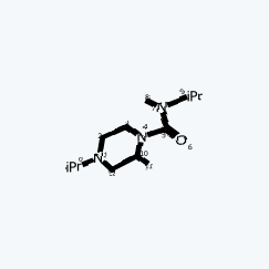 CC(C)N1CCN(C(=O)N(C)C(C)C)C(C)C1